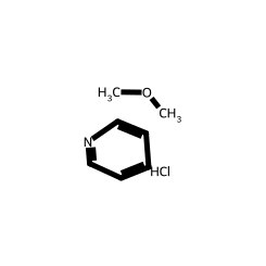 COC.Cl.c1ccncc1